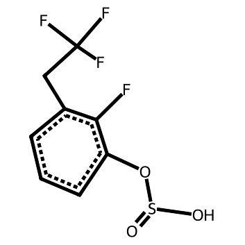 O=S(O)Oc1cccc(CC(F)(F)F)c1F